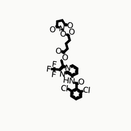 O=C(CCCC(=O)ON1C(=O)CCC1=O)OCc1c(C(F)(F)F)nc2c(NC(=O)c3c(Cl)cccc3Cl)cccn12